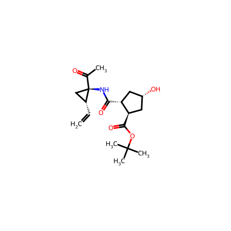 C=C[C@@H]1C[C@]1(NC(=O)[C@@H]1C[C@H](O)C[C@H]1C(=O)OC(C)(C)C)C(C)=O